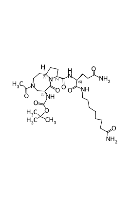 CC(=O)N1CC[C@H]2CC[C@@H](C(=O)N[C@@H](CCC(N)=O)C(=O)NCCCCCCCC(N)=O)N2C(=O)[C@@H](NC(=O)OC(C)(C)C)C1